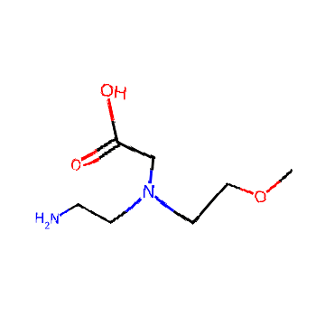 COCCN(CCN)CC(=O)O